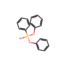 Br[PH](Oc1ccccc1)(Oc1ccccc1)c1ccccc1